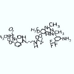 CNC(=O)C(CCC=O)N1C(=O)c2cccc(NCCCCNC(=O)C3(COc4cc5c(N[C@H](C)c6cc(N)cc(C(F)(F)F)c6)nc(C)nc5cc4OC)CC3)c2C1=O